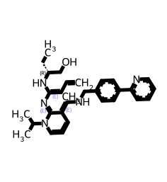 C=C/C=C(/N=C1\C(=C(/C)NCc2ccc(-c3ccccn3)cc2)C=C=CN1C(C)C)N[C@H](CC)CO